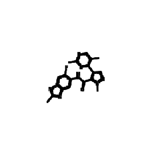 Cc1ncc(C)c(-c2cnn(C)c2C(=O)Nc2cc3nc(C)nn3cc2F)n1